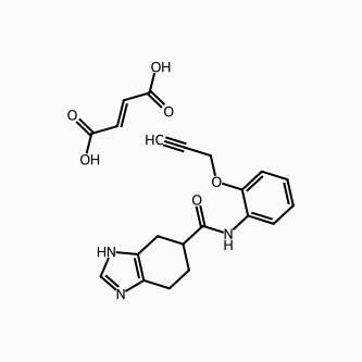 C#CCOc1ccccc1NC(=O)C1CCc2nc[nH]c2C1.O=C(O)C=CC(=O)O